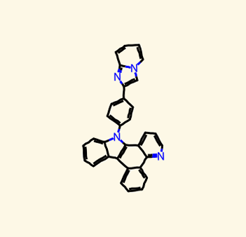 c1ccc2c(c1)c1ncccc1c1c2c2ccccc2n1-c1ccc(-c2cn3ccccc3n2)cc1